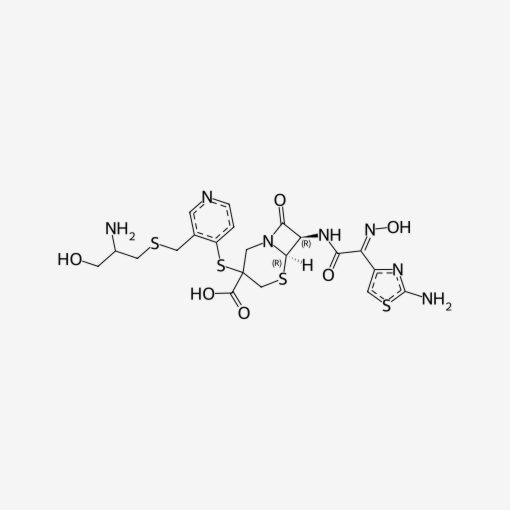 Nc1nc(C(=NO)C(=O)N[C@@H]2C(=O)N3CC(Sc4ccncc4CSCC(N)CO)(C(=O)O)CS[C@H]23)cs1